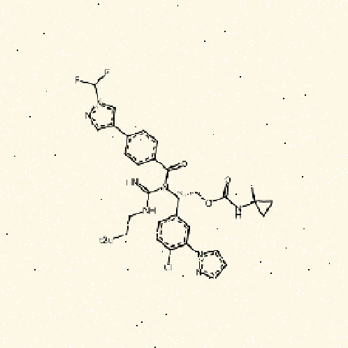 CC(C)(C)CCNC(=N)N(C(=O)c1ccc(-c2cnn(C(F)F)c2)cc1)[C@H](COC(=O)NC1(C)CC1)c1ccc(Cl)c(-n2cccn2)c1